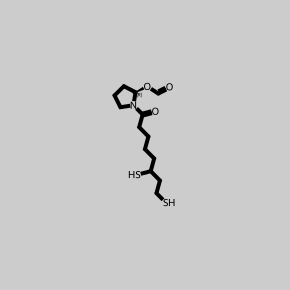 O=CO[C@@H]1CCCN1C(=O)CCCCC(S)CCS